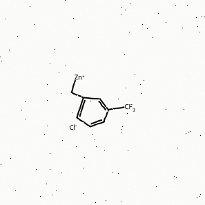 FC(F)(F)c1cccc([CH2][Zn+])c1.[Cl-]